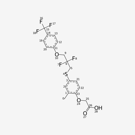 Cc1cc(SCC(F)(F)COc2ccc(C(F)(F)F)cc2)ccc1OCC(=O)O